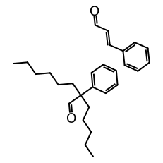 CCCCCCC(C=O)(CCCCC)c1ccccc1.O=CC=Cc1ccccc1